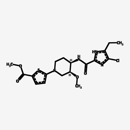 CCc1[nH]c(C(=O)N[C@@H]2CCN(c3ccc(C(=O)OC)s3)C[C@@H]2OC)nc1Cl